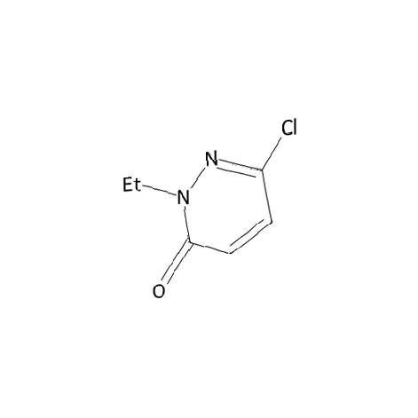 CCn1nc(Cl)ccc1=O